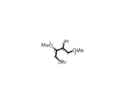 CCC(C)CC(OC)C(COC)C(C)C